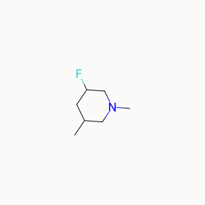 CC1CC(F)CN(C)C1